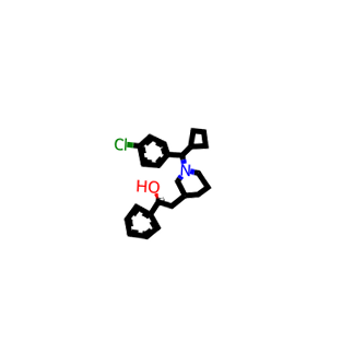 O[C@@H](CC1CCCN(C(c2ccc(Cl)cc2)C2CCC2)C1)c1ccccc1